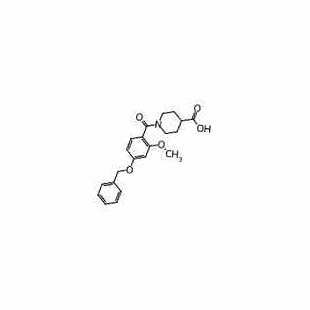 COc1cc(OCc2ccccc2)ccc1C(=O)N1CCC(C(=O)O)CC1